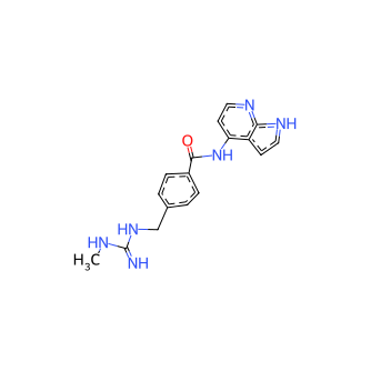 CNC(=N)NCc1ccc(C(=O)Nc2ccnc3[nH]ccc23)cc1